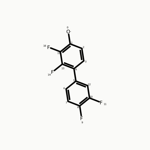 [O]c1ccc(-c2ccc(F)c(F)c2)c(F)c1F